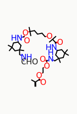 C=C(C)C(=O)OCCOC(=O)NCC1(C)CC(NC(=O)C(C)(C)OCCCCC(C)(C)OC(=O)NC2CC(C)(C)CC(C)(CNC=O)C2)CC(C)(C)C1